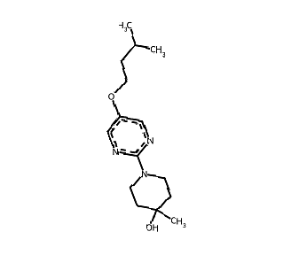 CC(C)CCOc1cnc(N2CCC(C)(O)CC2)nc1